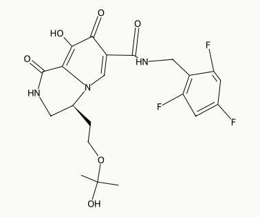 CC(C)(O)OCC[C@H]1CNC(=O)c2c(O)c(=O)c(C(=O)NCc3c(F)cc(F)cc3F)cn21